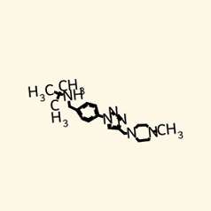 CN1CCN(Cc2cn(-c3ccc(CNC(C)(C)C)cc3)nn2)CC1